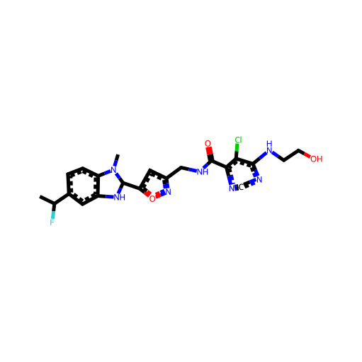 CC(F)c1ccc2c(c1)NC(c1cc(CNC(=O)c3ncnc(NCCO)c3Cl)no1)N2C